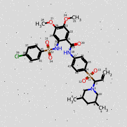 C=CC(N1CC(C)CC(C)C1)S(=O)(=O)c1ccc(NC(=O)c2cc(OC)c(OC)cc2NS(=O)(=O)c2ccc(Cl)cc2)cc1